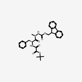 CN(NC(=O)OCC1c2ccccc2-c2ccccc21)C(=O)[C@H](Cc1ccccc1)NC(=O)C(=O)OC(C)(C)C